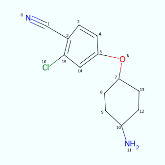 N#Cc1ccc(OC2CCC(N)CC2)cc1Cl